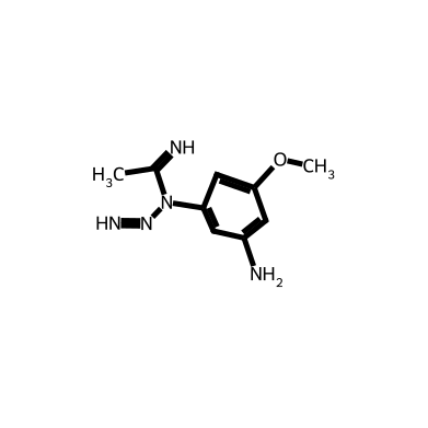 COc1cc(N)cc(N(N=N)C(C)=N)c1